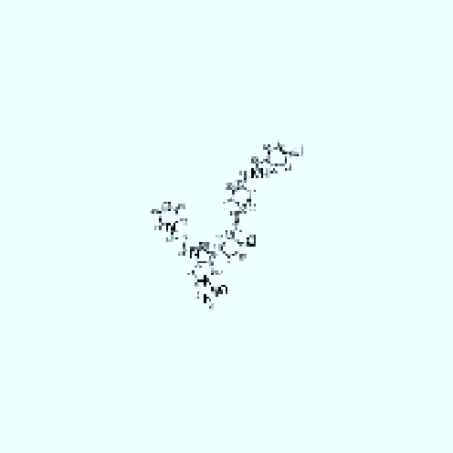 CN(C)C(=O)N1CCc2c(c(-c3ccc(Cl)c(C#Cc4ccc(CNCc5ccc(Cl)cc5)cc4)c3)nn2CCCN2CCOCC2)C1